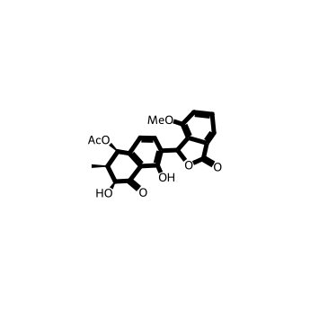 COc1cccc2c1C(c1ccc3c(c1O)C(=O)[C@@H](O)[C@@H](C)[C@H]3OC(C)=O)OC2=O